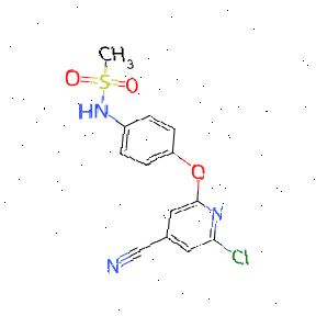 CS(=O)(=O)Nc1ccc(Oc2cc(C#N)cc(Cl)n2)cc1